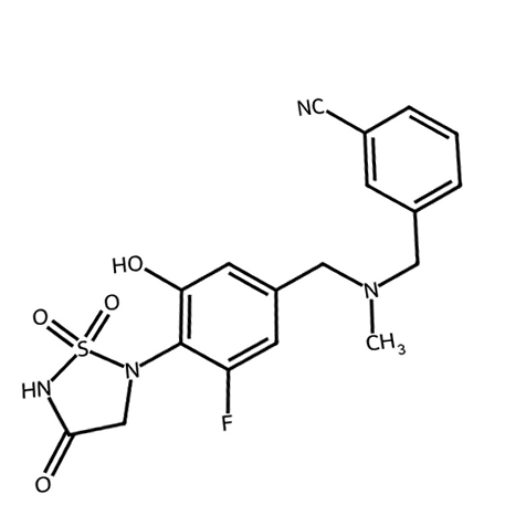 CN(Cc1cccc(C#N)c1)Cc1cc(O)c(N2CC(=O)NS2(=O)=O)c(F)c1